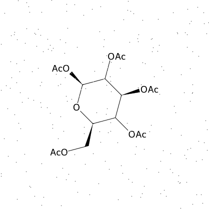 CC(=O)OC[C@H]1O[C@@H](OC(C)=O)C(OC(C)=O)[C@@H](OC(C)=O)C1OC(C)=O